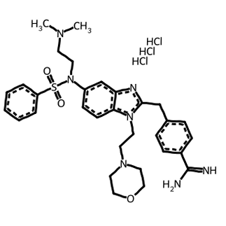 CN(C)CCN(c1ccc2c(c1)nc(Cc1ccc(C(=N)N)cc1)n2CCN1CCOCC1)S(=O)(=O)c1ccccc1.Cl.Cl.Cl